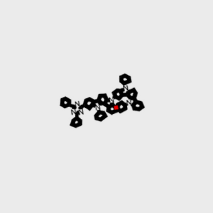 c1ccc(-c2nc(-c3ccccc3)nc(-c3ccc4c5ccc6c(c7ccccc7n6-c6ccc7c(c6)c6c(ccc8c9ccccc9n(-c9ccccc9)c86)n7-c6ccccc6)c5n(-c5ccccc5)c4c3)n2)cc1